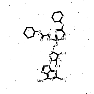 COc1nc(N)nc2c1ncn2[C@@H]1O[C@H](COP(=O)(N[C@@H](C)C(=O)OC2CCCCC2)N[C@@H](C)C(=O)OC2CCCCC2)[C@@H](O)[C@@]1(C)O